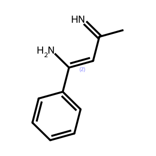 CC(=N)/C=C(\N)c1ccccc1